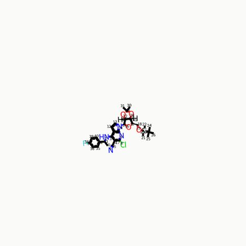 CC(Nc1c(C#N)c(Cl)nc2c1ccn2[C@@H]1O[C@H](CO[Si](C)(C)C(C)(C)C)[C@H]2OC(C)(C)O[C@H]21)c1ccc(F)cc1